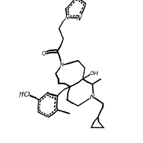 Cc1ccc(O)cc1C12CCN(C(=O)CCn3cccn3)CCC1(O)C(C)N(CC1CC1)CC2